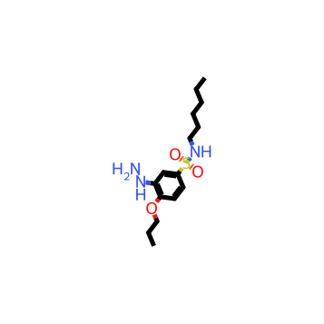 CCCCCCNS(=O)(=O)c1ccc(OCCC)c(NN)c1